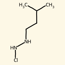 CC(C)CCNNCl